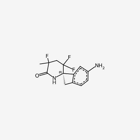 CC1(F)CC(F)(F)[C@]2(Cc3ccc(N)cc32)NC1=O